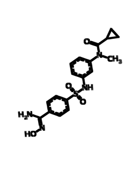 CN(C(=O)C1CC1)c1cccc(NS(=O)(=O)c2ccc(C(N)=NO)cc2)c1